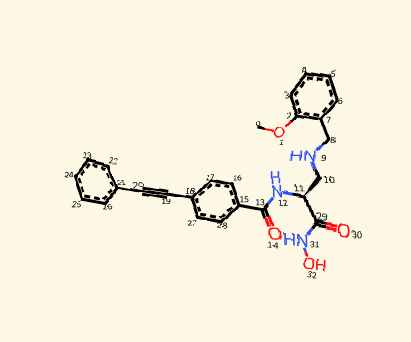 COc1ccccc1CNC[C@H](NC(=O)c1ccc(C#Cc2ccccc2)cc1)C(=O)NO